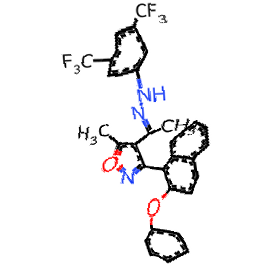 C/C(=N\Nc1cc(C(F)(F)F)cc(C(F)(F)F)c1)c1c(-c2c(Oc3ccccc3)ccc3ccccc23)noc1C